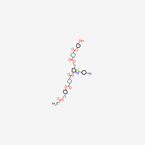 C=CC(=O)OCOc1ccc(OC(=O)C2CCC(C(=O)Oc3ccc(CCOC(=O)C4CCC(C(=O)Oc5ccc(O)cc5)CC4)c4sc(-c5ccc(C#N)cc5)nc34)CC2)cc1